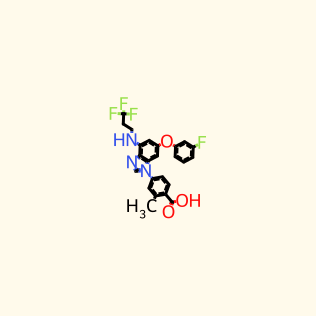 Cc1cc(-n2cnc3c(NCCC(F)(F)F)cc(Oc4cccc(F)c4)cc32)ccc1C(=O)O